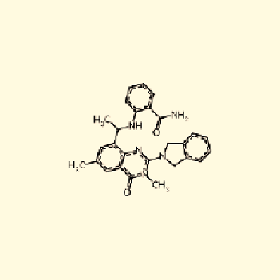 Cc1cc(C(C)Nc2ccccc2C(N)=O)c2nc(N3Cc4ccccc4C3)n(C)c(=O)c2c1